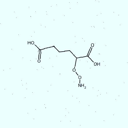 NOOC(CCCC(=O)O)C(=O)O